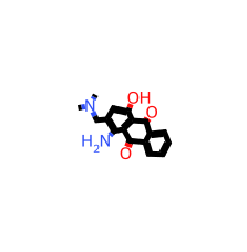 CN(C)Cc1cc(O)c2c(c1N)C(=O)c1ccccc1C2=O